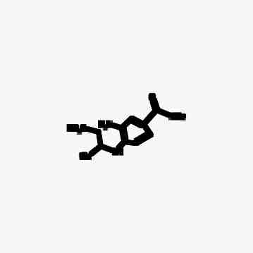 CNC(=O)c1ccc(NC(CC(=O)O)C(C)(C)C)c(N)c1